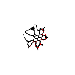 CCCc1cc(C)cc(CCC)c1-c1c(-c2c(CCC)cc(C)cc2CCC)c(-c2c(CCC)cc(C)cc2CCC)c2c(c1-c1c(CCC)cc(C)cc1CCC)=c1ccccc1=2